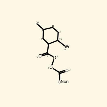 CCCCCCCCCC(=O)OOC(=O)C1CC(C)CCC1C(C)C